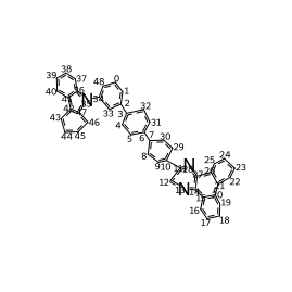 c1cc(-c2ccc(-c3ccc(-c4cnc5c6ccccc6c6ccccc6c5n4)cc3)cc2)cc(-n2c3ccccc3c3ccccc32)c1